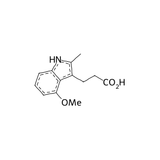 COc1cccc2[nH]c(C)c(CCC(=O)O)c12